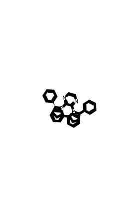 c1ccc(C2CCC(c3ccccc3)P2c2nccnc2P2[C@@H](c3ccccc3)CC[C@@H]2c2ccccc2)cc1